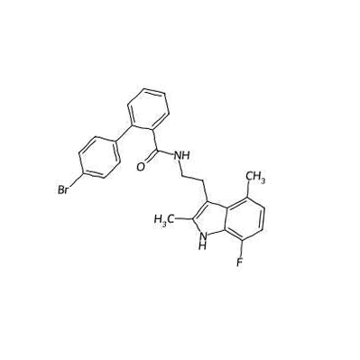 Cc1[nH]c2c(F)ccc(C)c2c1CCNC(=O)c1ccccc1-c1ccc(Br)cc1